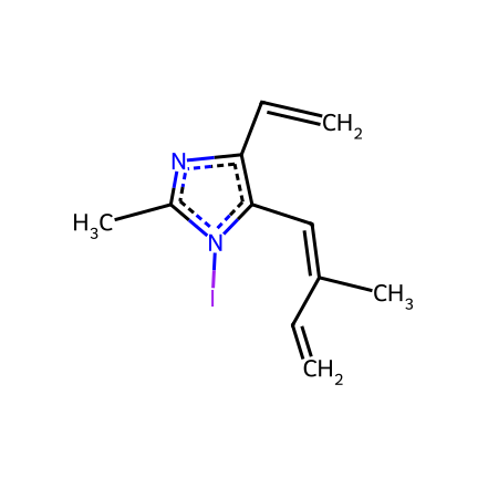 C=C/C(C)=C\c1c(C=C)nc(C)n1I